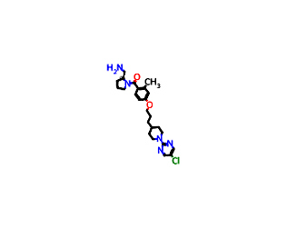 Cc1cc(OCCCC2CCN(c3ncc(Cl)cn3)CC2)ccc1C(=O)N1CCC[C@H]1CN